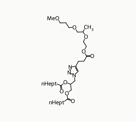 CCCCCCCC(=O)OCC(Cn1cc(CCC(=O)OCCOC(C)COCCCOC)nn1)OC(=O)CCCCCCC